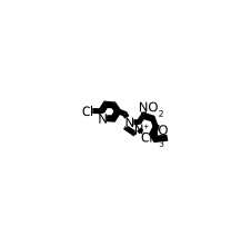 C[N+]1=C(/C(=C\c2ccco2)[N+](=O)[O-])N(Cc2ccc(Cl)nc2)CC1